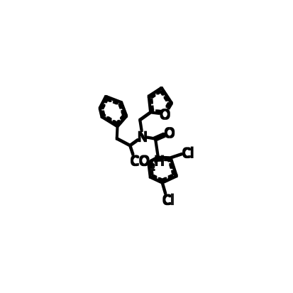 O=C(O)C(Cc1ccccc1)N(Cc1ccco1)C(=O)c1ccc(Cl)cc1Cl